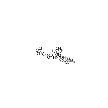 Cc1nccc(-c2ccc(C[C@H](NC(=O)[C@@H]3Cc4cc5c(cc4CN3C(=O)N[C@H](C)c3ccccc3)O[C@@H](c3ccc(OCc4c(Cl)cccc4Cl)cc3)CO5)C(=O)O)cc2)c1C